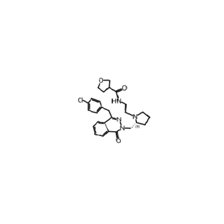 O=C(NCCN1CCC[C@@H]1Cn1nc(Cc2ccc(Cl)cc2)c2ccccc2c1=O)C1CCOC1